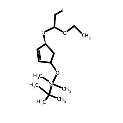 CCOC(CI)O[C@@H]1C=CC(O[Si](C)(C)C(C)(C)C)C1